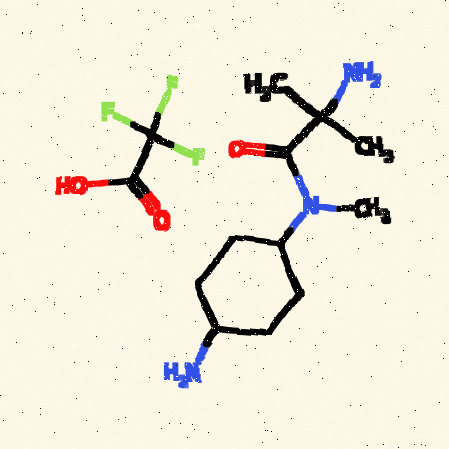 CN(C(=O)C(C)(C)N)C1CCC(N)CC1.O=C(O)C(F)(F)F